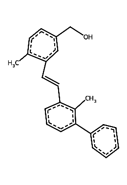 Cc1ccc(CO)cc1/C=C/c1cccc(-c2ccccc2)c1C